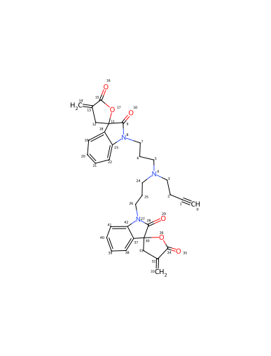 C#CCCN(CCCN1C(=O)C2(CC(=C)C(=O)O2)c2ccccc21)CCCN1C(=O)C2(CC(=C)C(=O)O2)c2ccccc21